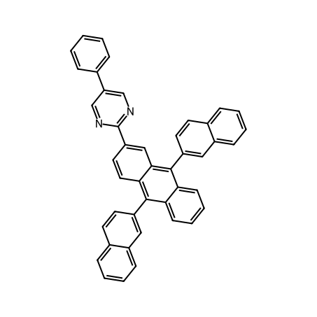 c1ccc(-c2cnc(-c3ccc4c(-c5ccc6ccccc6c5)c5ccccc5c(-c5ccc6ccccc6c5)c4c3)nc2)cc1